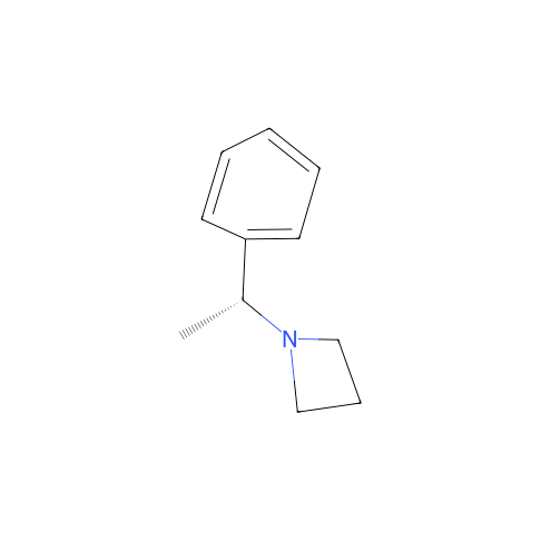 C[C@H](c1ccccc1)N1CCC1